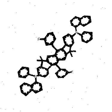 CC1(C)c2cc(N(c3ccccc3)c3cccc4ccccc34)ccc2-c2c1cc1c(-c3cccc(F)c3)c3c(cc1c2-c1cccc(F)c1)C(C)(C)c1cc(N(c2ccccc2)c2cccc4ccccc24)ccc1-3